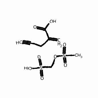 C#CCC(=C)C(=O)O.CS(=O)(=O)OCS(=O)(=O)O